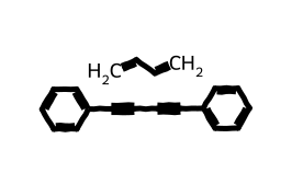 C(C#Cc1ccccc1)#Cc1ccccc1.C=CC=C